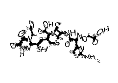 Nc1nc(C(=NOCC(=O)O)C(=O)NC2C(=O)N3C(C(=O)O)=C(C=C(S)c4n[nH]c(=O)c(=O)n4CC=O)CSC23)cs1